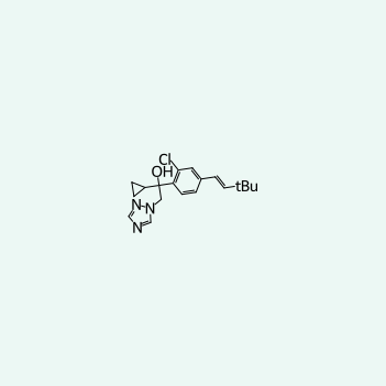 CC(C)(C)/C=C/c1ccc(C(O)(Cn2cncn2)C2CC2)c(Cl)c1